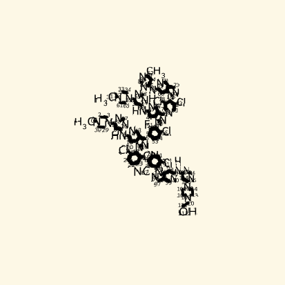 CN1CCN(c2cc(Nc3cc4c(cn3)cnn4-c3c(Cl)cccc3C#N)ncn2)CC1.CN1CCN(c2cc(Nc3cc4c(cn3)cnn4-c3c(F)cccc3Cl)ncn2)CC1.Cc1cc(Nc2cc3c(cn2)cnn3-c2c(Cl)cncc2Cl)ncn1.N#Cc1cccc(Cl)c1-n1ncc2cnc(Nc3cc(N4CCN(CCO)CC4)ncn3)cc21